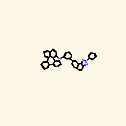 c1ccc(-n2nc3ccc4ccc(-c5cccc(-n6c7cccc8c7c7c9c(cccc9ccc76)-c6ccccc6-8)c5)cc4c3n2)cc1